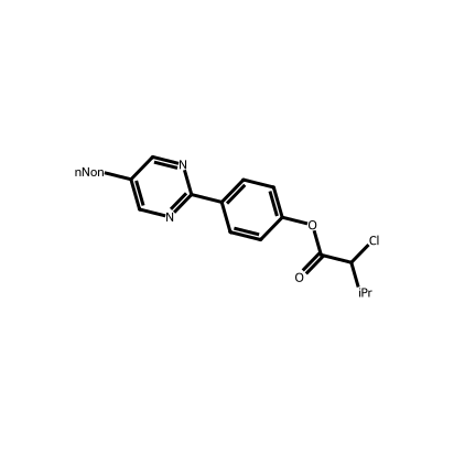 CCCCCCCCCc1cnc(-c2ccc(OC(=O)C(Cl)C(C)C)cc2)nc1